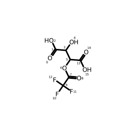 O=C(O)C(O)C(OC(=O)C(F)(F)F)C(=O)O